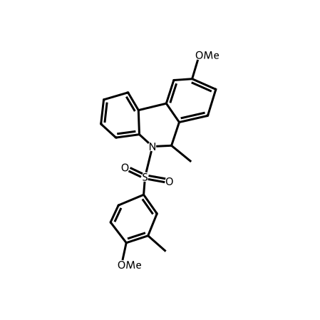 COc1ccc2c(c1)-c1ccccc1N(S(=O)(=O)c1ccc(OC)c(C)c1)C2C